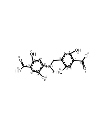 C[SH](Cc1cc(O)c(C(=O)O)cc1O)c1cc(O)c(C(=O)O)cc1O